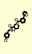 O=C(NCc1ccc(Cl)cc1)C1CCCN(C(=O)c2cccc(-c3ccco3)c2)C1